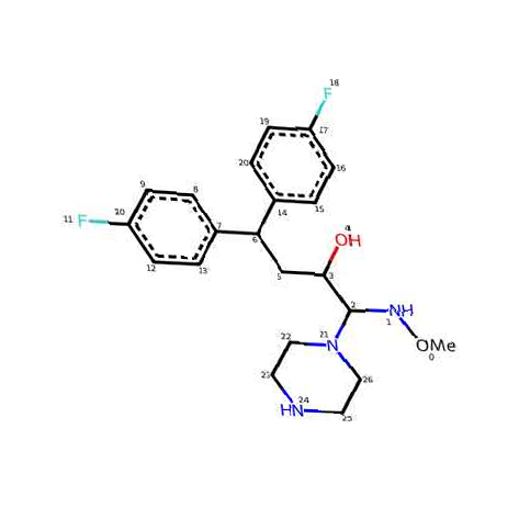 CONC(C(O)CC(c1ccc(F)cc1)c1ccc(F)cc1)N1CCNCC1